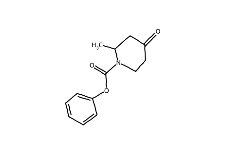 CC1CC(=O)CCN1C(=O)Oc1ccccc1